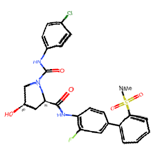 CNS(=O)(=O)c1ccccc1-c1ccc(NC(=O)[C@H]2C[C@@H](O)CN2C(=O)Nc2ccc(Cl)cc2)c(F)c1